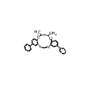 CC1CC(C)Oc2ccc(-c3ccccc3)cc2N=C=Nc2cc(-c3ccccc3)ccc2O1